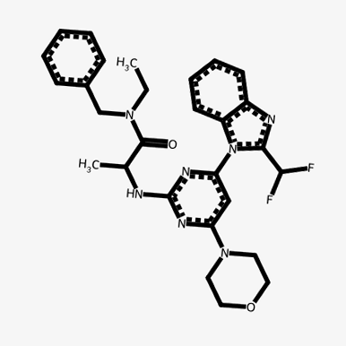 CCN(Cc1ccccc1)C(=O)C(C)Nc1nc(N2CCOCC2)cc(-n2c(C(F)F)nc3ccccc32)n1